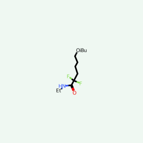 CCNC(=O)C(F)(F)CCCCOCC(C)C